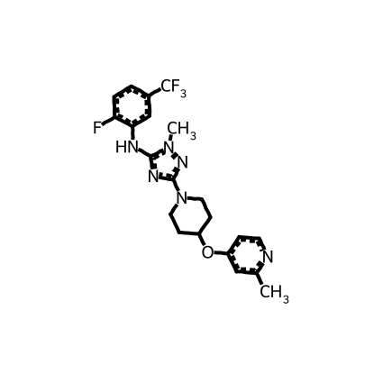 Cc1cc(OC2CCN(c3nc(Nc4cc(C(F)(F)F)ccc4F)n(C)n3)CC2)ccn1